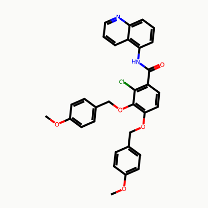 COc1ccc(COc2ccc(C(=O)Nc3cccc4ncccc34)c(Cl)c2OCc2ccc(OC)cc2)cc1